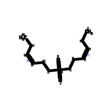 CC/C=C\CCS(=O)(=O)CC/C=C\CC